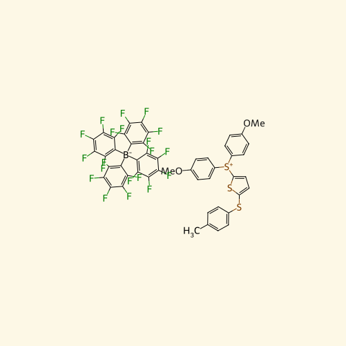 COc1ccc([S+](c2ccc(OC)cc2)c2ccc(Sc3ccc(C)cc3)s2)cc1.Fc1c(F)c(F)c([B-](c2c(F)c(F)c(F)c(F)c2F)(c2c(F)c(F)c(F)c(F)c2F)c2c(F)c(F)c(F)c(F)c2F)c(F)c1F